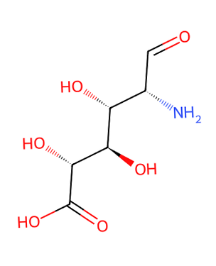 N[C@@H](C=O)[C@@H](O)[C@@H](O)[C@@H](O)C(=O)O